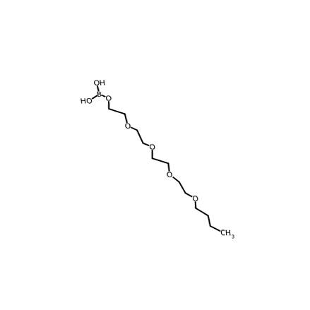 CCCCOCCOCCOCCOCCOB(O)O